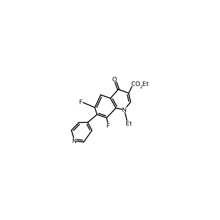 CCOC(=O)c1cn(CC)c2c(F)c(-c3ccncc3)c(F)cc2c1=O